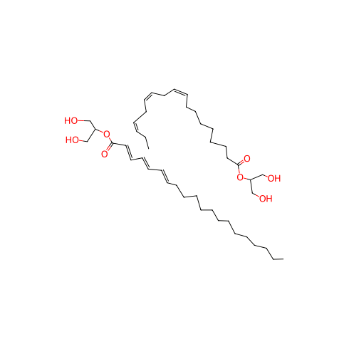 CC/C=C\C/C=C\C/C=C\CCCCCCCC(=O)OC(CO)CO.CCCCCCCCCCCCC/C=C/C=C/C=C/C(=O)OC(CO)CO